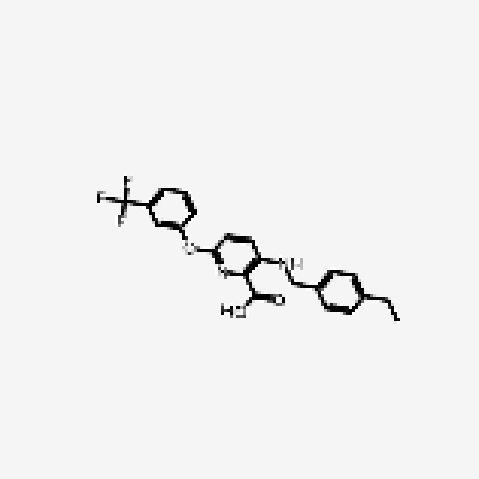 CCc1ccc(CNc2ccc(Oc3cccc(C(F)(F)F)c3)nc2C(=O)O)cc1